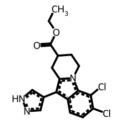 CCOC(=O)C1CCn2c(c(-c3cn[nH]c3)c3ccc(Cl)c(Cl)c32)C1